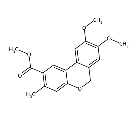 COC(=O)c1cc2c(cc1C)OCc1cc(OC)c(OC)cc1-2